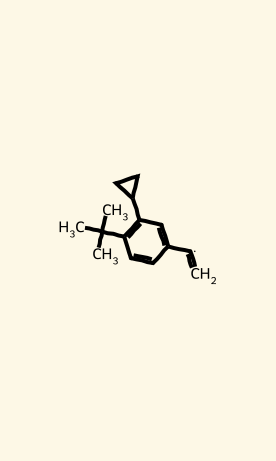 C=[C]c1ccc(C(C)(C)C)c(C2CC2)c1